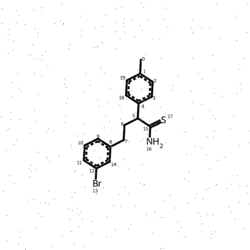 Cc1ccc(C(CCc2cccc(Br)c2)C(N)=S)cc1